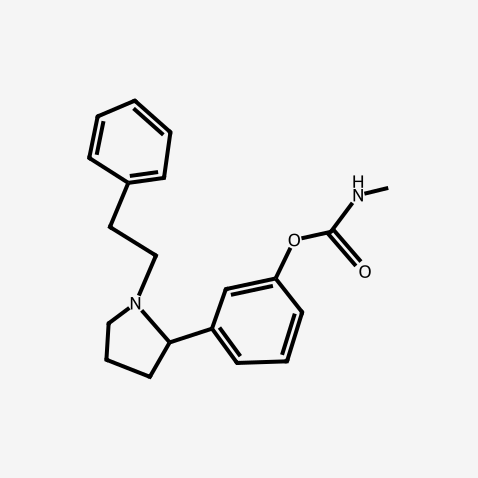 CNC(=O)Oc1cccc(C2CCCN2CCc2ccccc2)c1